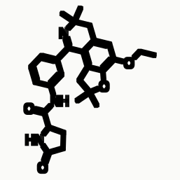 CCOc1cc2c(c3c1OC(C)(C)C3)C(c1cccc(NC(=O)C3CCC(=O)N3)c1)=NC(C)(C)C2